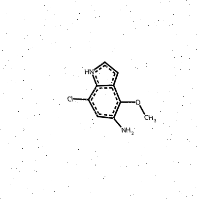 COc1c(N)cc(Cl)c2[nH]ccc12